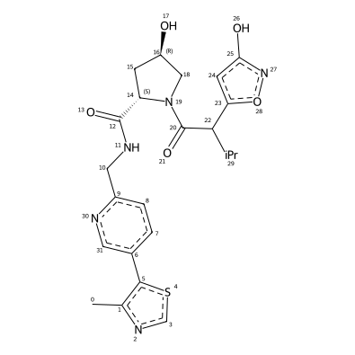 Cc1ncsc1-c1ccc(CNC(=O)[C@@H]2C[C@@H](O)CN2C(=O)C(c2cc(O)no2)C(C)C)nc1